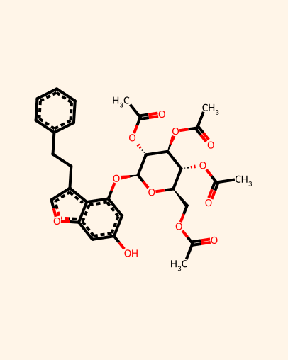 CC(=O)OC[C@H]1O[C@@H](Oc2cc(O)cc3occ(CCc4ccccc4)c23)[C@H](OC(C)=O)[C@@H](OC(C)=O)[C@@H]1OC(C)=O